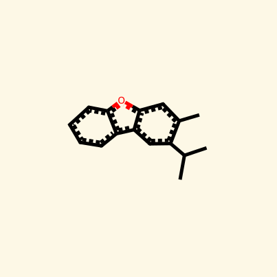 Cc1cc2oc3ccccc3c2cc1C(C)C